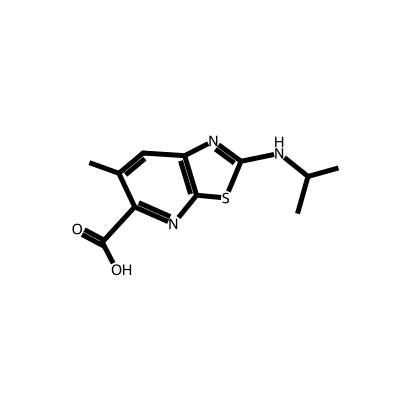 Cc1cc2nc(NC(C)C)sc2nc1C(=O)O